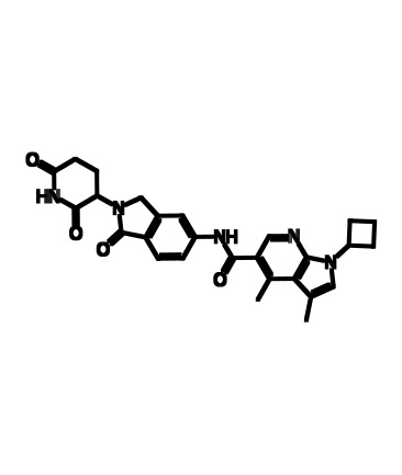 Cc1cn(C2CCC2)c2ncc(C(=O)Nc3ccc4c(c3)CN(C3CCC(=O)NC3=O)C4=O)c(C)c12